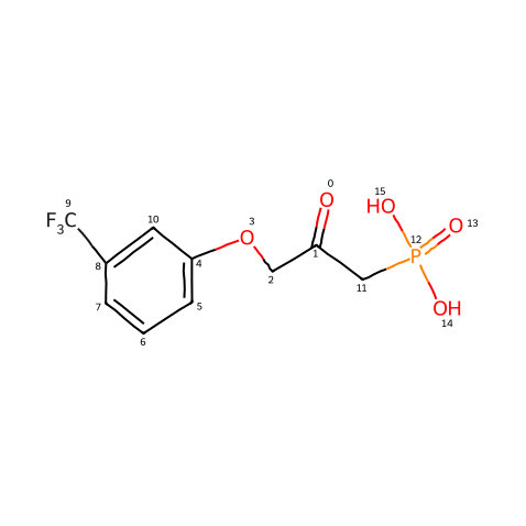 O=C(COc1cccc(C(F)(F)F)c1)CP(=O)(O)O